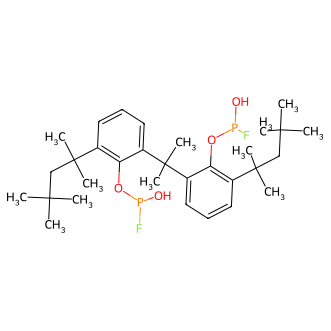 CC(C)(C)CC(C)(C)c1cccc(C(C)(C)c2cccc(C(C)(C)CC(C)(C)C)c2OP(O)F)c1OP(O)F